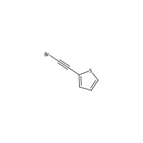 BrC#Cc1cccs1